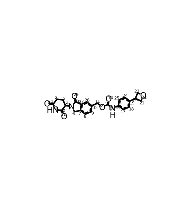 O=C1CCC(N2Cc3ccc(COC(=O)Nc4ccc(C5COC5)cc4)cc3C2=O)C(=O)N1